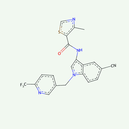 Cc1ncsc1C(=O)Nc1cn(Cc2ccc(C(F)(F)F)nc2)c2ccc(C#N)cc12